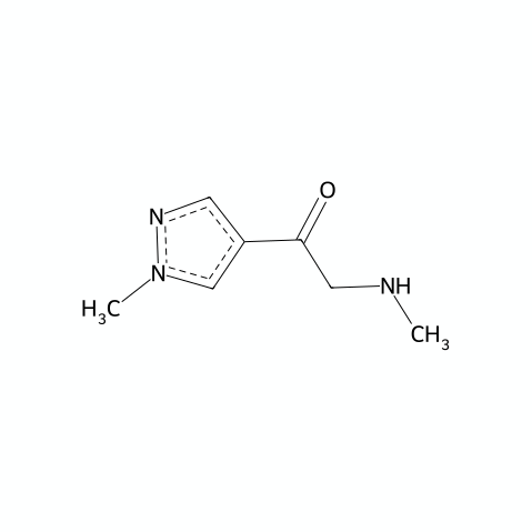 CNCC(=O)c1cnn(C)c1